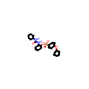 O=C(Nc1ccccc1)Nc1ccccc1OS(=O)(=O)c1ccc(Oc2ccccc2)cc1